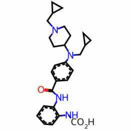 O=C(O)Nc1ccccc1NC(=O)c1ccc(N(CC2CC2)C2CCN(CC3CC3)CC2)cc1